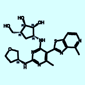 Cc1nc(N[C@H]2CCOC2)nc(N[C@@H]2C[C@H](CO)[C@@H](O)[C@H]2O)c1-c1nc2c(C)nccc2s1